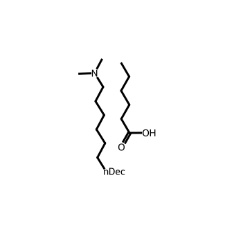 CCCCCC(=O)O.CCCCCCCCCCCCCCCCN(C)C